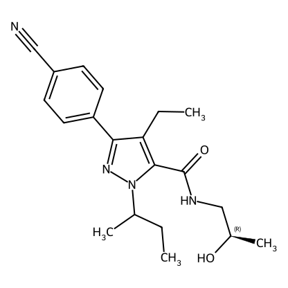 CCc1c(-c2ccc(C#N)cc2)nn(C(C)CC)c1C(=O)NC[C@@H](C)O